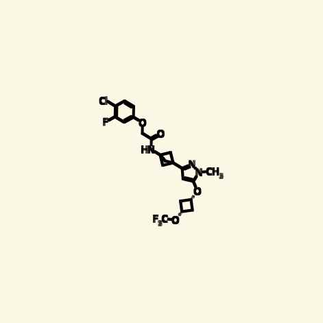 Cn1nc(C23CC(NC(=O)COc4ccc(Cl)c(F)c4)(C2)C3)cc1O[C@H]1C[C@@H](OC(F)(F)F)C1